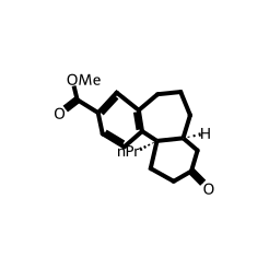 CCC[C@@]12CCC(=O)C[C@@H]1CCCc1cc(C(=O)OC)ccc12